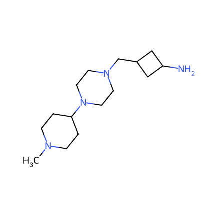 CN1CCC(N2CCN(CC3CC(N)C3)CC2)CC1